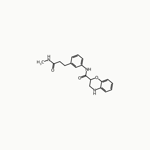 CNC(=O)CCc1cccc(NC(=O)C2CNc3ccccc3O2)c1